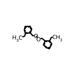 CCc1ccccc1COOCc1ccccc1CC